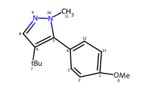 COc1ccc(-c2c(C(C)(C)C)cnn2C)cc1